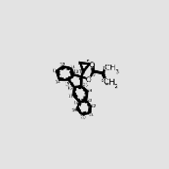 C=C(C)C(=O)OC1(C2CC2)c2ccccc2-c2cc3ccccc3cc21